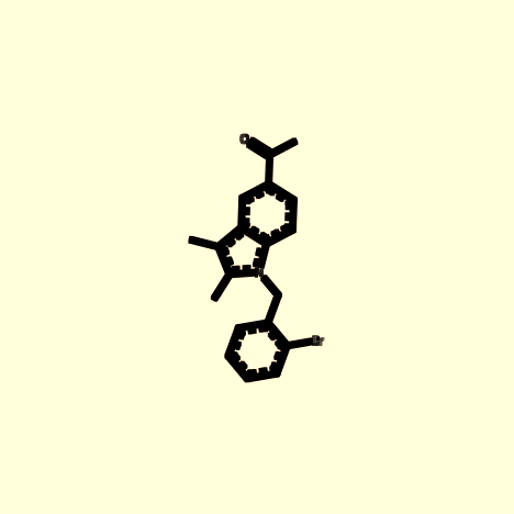 CC(=O)c1ccc2c(c1)c(C)c(C)n2Cc1ccccc1Br